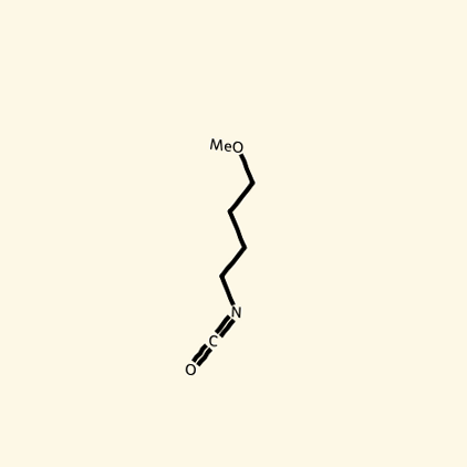 COCCCCN=C=O